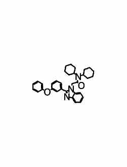 O=C(Cn1c(-c2cccc(Oc3ccccc3)c2)nc2ccccc21)N(C1CCCCC1)C1CCCCC1